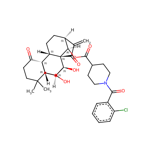 C=C1C(=O)[C@]23[C@H](OC(=O)C4CCN(C(=O)c5ccccc5Cl)CC4)[C@H]1CC[C@H]2[C@@]12CO[C@]3(O)[C@@H](O)[C@@H]1C(C)(C)CCC2=O